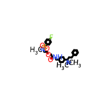 CN(C)C(CCc1ccccc1)C1CCC(CNC(=O)COCCN(C)S(=O)(=O)c2ccc(F)cc2)CC1